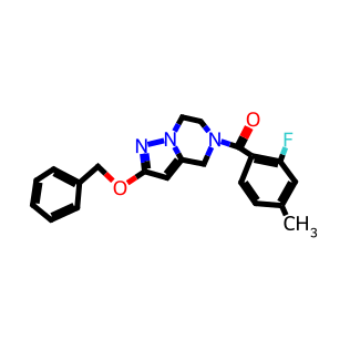 Cc1ccc(C(=O)N2CCn3nc(OCc4ccccc4)cc3C2)c(F)c1